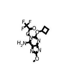 COc1nc2nc(OC3CCC3)n(OC(=O)C(F)(F)F)c(N)c-2n1